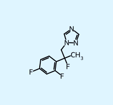 CC(F)(Cn1cncn1)c1ccc(F)cc1F